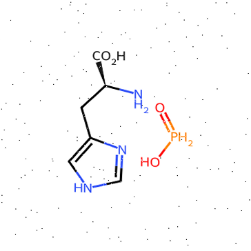 N[C@@H](Cc1c[nH]cn1)C(=O)O.O=[PH2]O